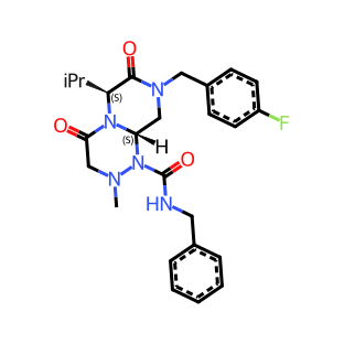 CC(C)[C@H]1C(=O)N(Cc2ccc(F)cc2)C[C@H]2N1C(=O)CN(C)N2C(=O)NCc1ccccc1